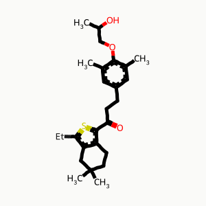 CCc1sc(C(=O)CCc2cc(C)c(OCC(C)O)c(C)c2)c2c1CC(C)(C)CC2